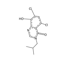 CC(C)Cn1cnc2c(O)c(Cl)cc(Cl)c2c1=O